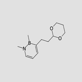 CB1C(CCC2OCCCO2)=CC=CN1C